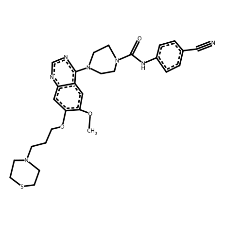 COc1cc2c(N3CCN(C(=O)Nc4ccc(C#N)cc4)CC3)ncnc2cc1OCCCN1CCSCC1